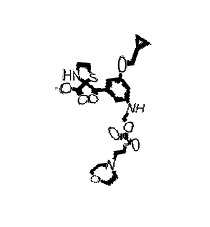 [O]C(=O)C1(C(=O)c2cc(NCOS(=O)(=O)CCN3CCOCC3)cc(OCC3CC3)c2)NCCS1